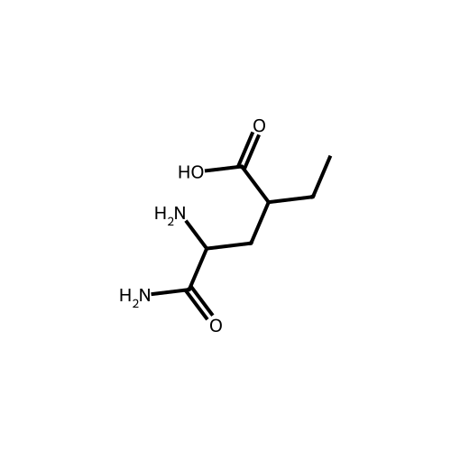 CCC(CC(N)C(N)=O)C(=O)O